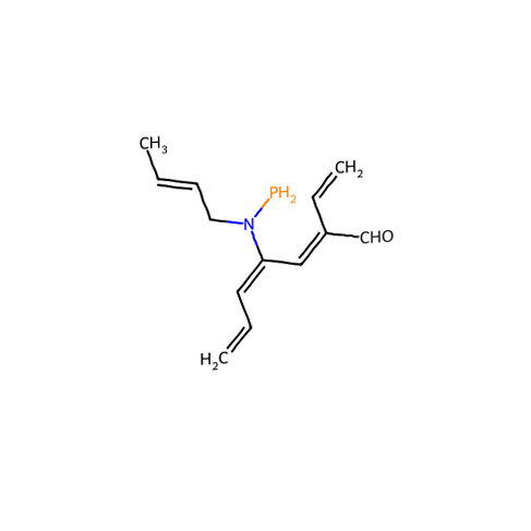 C=C/C=C(\C=C(/C=C)C=O)N(P)C/C=C/C